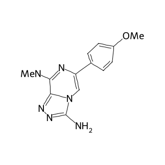 CNc1nc(-c2ccc(OC)cc2)cn2c(N)nnc12